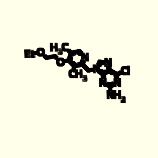 CCOCCOc1c(C)cnc(Cn2cnc3c(Cl)nc(N)nc32)c1C